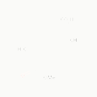 COC(=O)C(C)=CC=C(C)C(=O)O